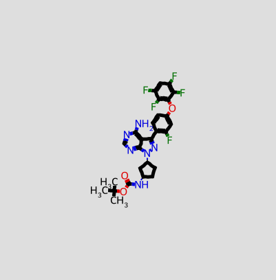 CC(C)(C)OC(=O)N[C@H]1CC[C@@H](n2nc(-c3ccc(Oc4c(F)c(F)cc(F)c4F)cc3F)c3c(N)ncnc32)C1